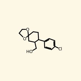 OCC1CC2(CCC1c1ccc(Cl)cc1)OCCO2